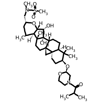 CC(C)C(=O)N1CCO[C@@H](O[C@H]2CC[C@]34C[C@]35CC[C@]3(C)[C@@H]6[C@H](O[C@@H](CN(C)S(C)(=O)=O)C[C@H]6C)[C@H](O)[C@@]3(C)[C@@H]5CC[C@H]4C2(C)C)C1